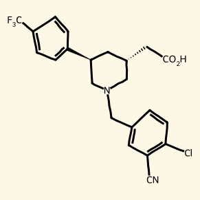 N#Cc1cc(CN2C[C@@H](CC(=O)O)C[C@H](c3ccc(C(F)(F)F)cc3)C2)ccc1Cl